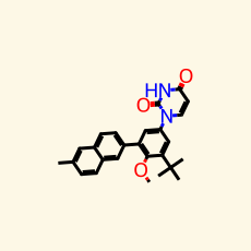 COc1c(-c2ccc3cc(C)ccc3c2)cc(-n2ccc(=O)[nH]c2=O)cc1C(C)(C)C